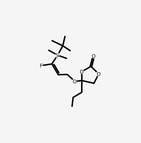 CCCC1(OCC=C(F)[Si](C)(C)C(C)(C)C)COC(=O)O1